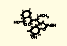 CCN(C(=O)c1ccccc1C(=O)O)[C@@H](CC(=O)O)c1ccc(O)cc1